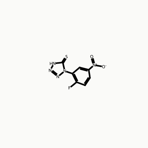 O=[N+]([O-])c1ccc(F)c(-n2nn[nH]c2=S)c1